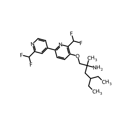 CCC(CC)CC(C)(N)COc1ccc(-c2ccnc(C(F)F)c2)nc1C(F)F